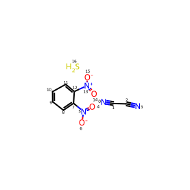 N#CC#N.O=[N+]([O-])c1ccccc1[N+](=O)[O-].S